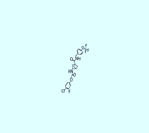 O=C(COc1ccc(Cl)c(F)c1)NC1CC2(C(=O)NCc3ccc(OC(F)(F)F)cc3)CC1C2